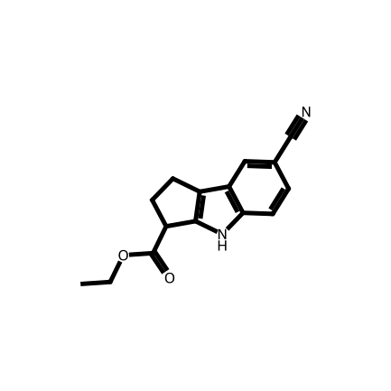 CCOC(=O)C1CCc2c1[nH]c1ccc(C#N)cc21